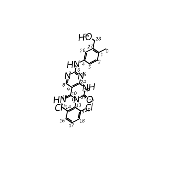 Cc1ccc(Nc2ncc3c(=N)n(-c4c(Cl)cccc4Cl)c(=O)[nH]c3n2)cc1CO